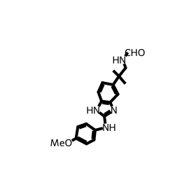 COc1ccc(Nc2nc3cc(C(C)(C)CNC=O)ccc3[nH]2)cc1